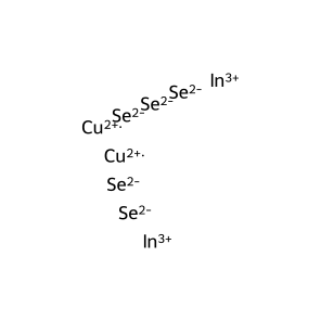 [Cu+2].[Cu+2].[In+3].[In+3].[Se-2].[Se-2].[Se-2].[Se-2].[Se-2]